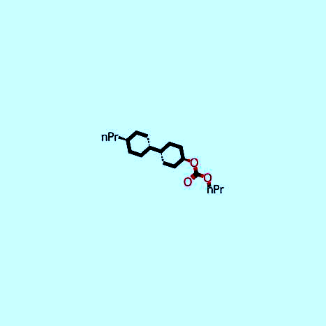 CCCOC(=O)O[C@H]1CC[C@H]([C@H]2CC[C@H](CCC)CC2)CC1